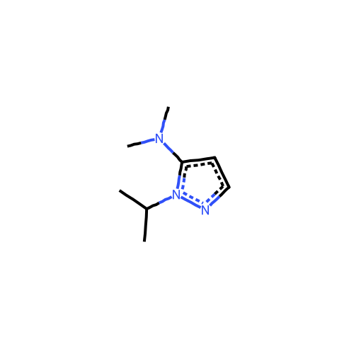 CC(C)n1nccc1N(C)C